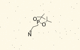 CC(C)OP(=O)(CCC#N)C(C)(C)C